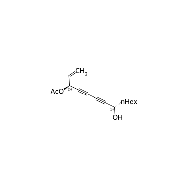 C=C[C@@H](C#CC#C[C@@H](O)CCCCCC)OC(C)=O